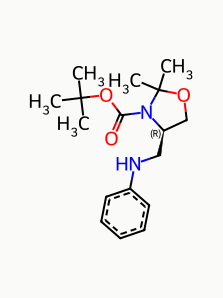 CC(C)(C)OC(=O)N1[C@H](CNc2ccccc2)COC1(C)C